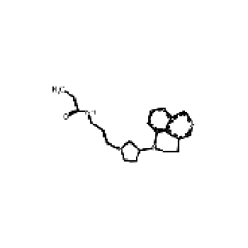 CCC(=O)NCCCN1CCC(N2CCc3cncc4cccc2c34)C1